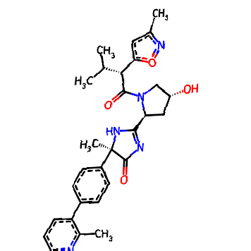 Cc1cc([C@H](C(=O)N2C[C@H](O)C[C@H]2C2=NC(=O)[C@@](C)(c3ccc(-c4cccnc4C)cc3)N2)C(C)C)on1